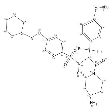 CCCCOc1ccc(C(F)(F)C(C(=O)N2CCC(N)CC2)N(C)S(=O)(=O)c2ccc(OCC3CCCCC3)cc2)cc1